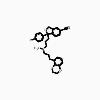 CN(CCCc1cccc2c1OCCO2)CCCC1(c2ccc(F)cc2)OCc2cc(C#N)ccc21